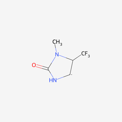 CN1C(=O)N[CH]C1C(F)(F)F